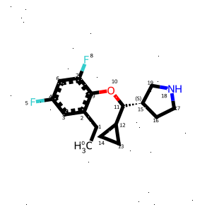 CCc1cc(F)cc(F)c1OC(C1CC1)[C@H]1CCNC1